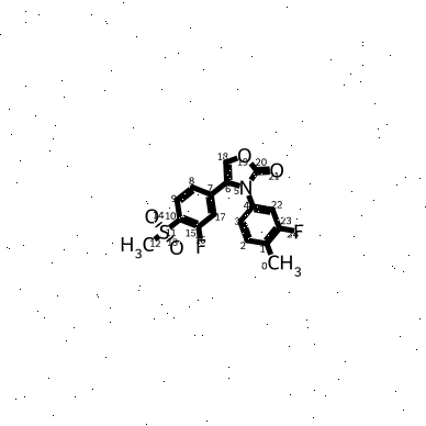 Cc1ccc(-n2c(-c3ccc(S(C)(=O)=O)c(F)c3)coc2=O)cc1F